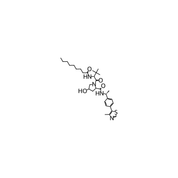 CCCCCCCCC(=O)N[C@H](C(=O)N1C[C@H](O)CC1C(=O)N[C@@H](C)c1ccc(-c2scnc2C)cc1)C(C)(C)C